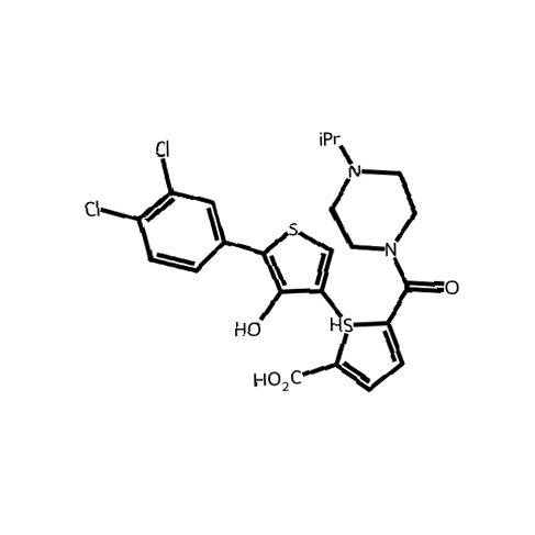 CC(C)N1CCN(C(=O)C2=CC=C(C(=O)O)[SH]2c2csc(-c3ccc(Cl)c(Cl)c3)c2O)CC1